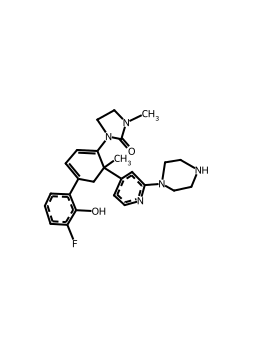 CN1CCN(C2=CC=C(c3cccc(F)c3O)CC2(C)c2ccnc(N3CCNCC3)c2)C1=O